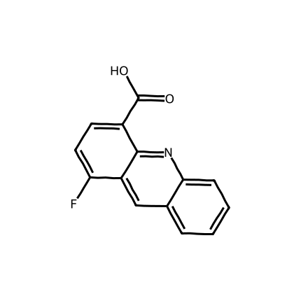 O=C(O)c1ccc(F)c2cc3ccccc3nc12